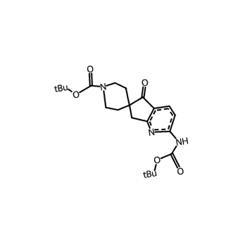 CC(C)(C)OC(=O)Nc1ccc2c(n1)CC1(CCN(C(=O)OC(C)(C)C)CC1)C2=O